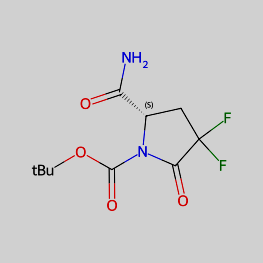 CC(C)(C)OC(=O)N1C(=O)C(F)(F)C[C@H]1C(N)=O